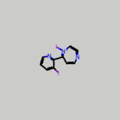 Ic1cccnc1C1=[N+](I)C=C=NC=C1